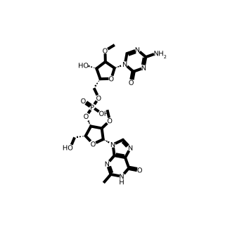 COC1[C@@H](O)[C@@H](COP(=O)(O)O[C@@H]2C(OC)[C@H](n3cnc4c(=O)[nH]c(C)nc43)O[C@@H]2CO)O[C@H]1n1cnc(N)nc1=O